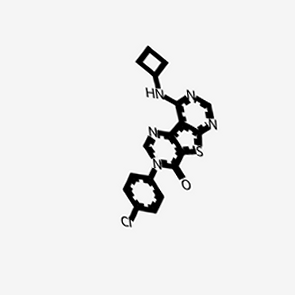 O=c1c2sc3ncnc(NC4CCC4)c3c2ncn1-c1ccc(Cl)cc1